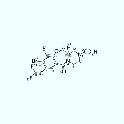 O=C(O)N1CCN2C(=O)c3cc(OC(F)F)c(Br)c(F)c3OC[C@H]2C1